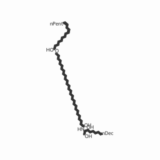 CCCCC/C=C\C/C=C\CCCCCCCC(O)OCCCCCCCCCCCCCCCCCCCCCCCCCCCCCC(O)NC(CO)C(O)CCCCCCCCCCCCCCC